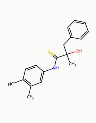 CC(O)(Cc1ccccc1)C(=S)Nc1ccc(C#N)c(C(F)(F)F)c1